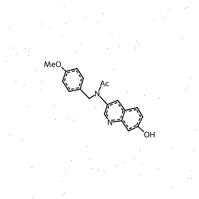 COc1ccc(CN(C(C)=O)c2cnc3cc(O)ccc3c2)cc1